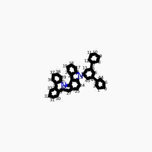 c1ccc(-c2cc(-c3ccccc3)cc(-n3c4ccccc4c4c3ccc3cc5c6ccccc6c6ccccc6n5c34)c2)cc1